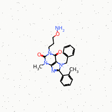 Cc1ccccc1-c1nc2c(c(=O)n(CCCON)c(=O)n2C)n1Cc1ccccc1